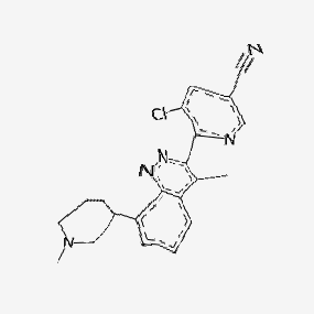 Cc1c(-c2ncc(C#N)cc2Cl)nnc2c(C3CCCN(C)C3)cccc12